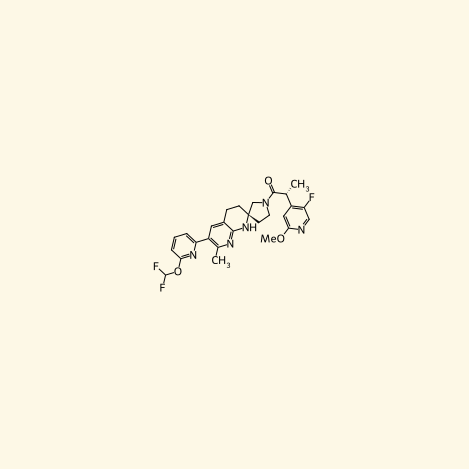 COc1cc([C@@H](C)C(=O)N2CC[C@@]3(CCc4cc(-c5cccc(OC(F)F)n5)c(C)nc4N3)C2)c(F)cn1